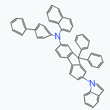 c1ccc(-c2ccc(N(c3ccc4c(c3)C(c3ccccc3)(c3ccccc3)c3cc(-n5ccc6ccccc65)ccc3-4)c3cccc4ccccc34)cc2)cc1